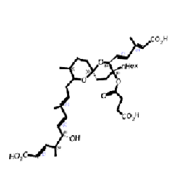 CCCCCC[C@@]1(OC(=O)CCC(=O)O)CC[C@]2(CC[C@H](C)C(C/C=C(C)/C=C/[C@H](O)[C@@H](C)/C=C/C(=O)O)O2)O[C@H]1/C=C/C(C)=C/C(=O)O